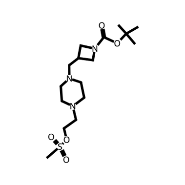 CC(C)(C)OC(=O)N1CC(CN2CCN(CCOS(C)(=O)=O)CC2)C1